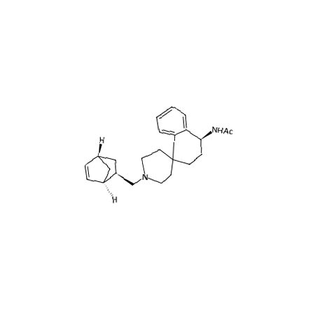 CC(=O)N[C@H]1CCC2(CCN(C[C@@H]3C[C@H]4C=C[C@H]3C4)CC2)c2ccccc21